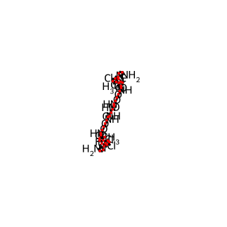 Cc1cc(O[C@H]2c3cc(Cl)cc(Cl)c3C[C@@H]2N2CCC[C@@H](N)C2)c(F)cc1S(=O)(=O)NCCOCCOCCNC(=O)NCCCCNC(=O)NCCOCCOCCNS(=O)(=O)c1cc(F)c(O[C@H]2c3cc(Cl)cc(Cl)c3C[C@@H]2N2CCC[C@@H](N)C2)cc1C